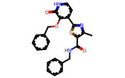 Cc1nc(-c2cc[nH]c(=O)c2OCc2ccccc2)sc1C(=O)NCc1ccccc1